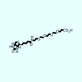 O=C(O)CCOCCOCCOCCOCCNC(=O)CCCC[C@@H]1SC[C@@H]2NC(=O)N[C@@H]21